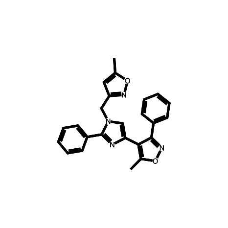 Cc1cc(Cn2cc(-c3c(-c4ccccc4)noc3C)nc2-c2ccccc2)no1